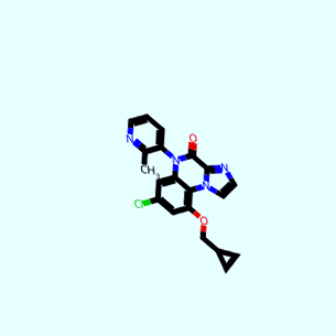 Cc1ncccc1-n1c(=O)c2nccn2c2c(OCC3CC3)cc(Cl)cc21